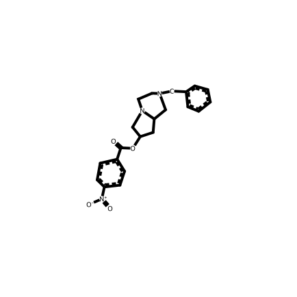 O=C(OC1CC2CN(Cc3ccccc3)CCN2C1)c1ccc([N+](=O)[O-])cc1